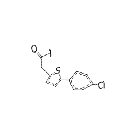 O=C(I)Cc1ccc(-c2ccc(Cl)cc2)s1